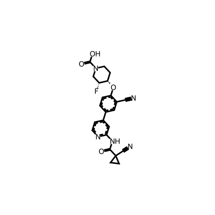 N#Cc1cc(-c2ccnc(NC(=O)C3(C#N)CC3)c2)ccc1O[C@H]1CCN(C(=O)O)C[C@H]1F